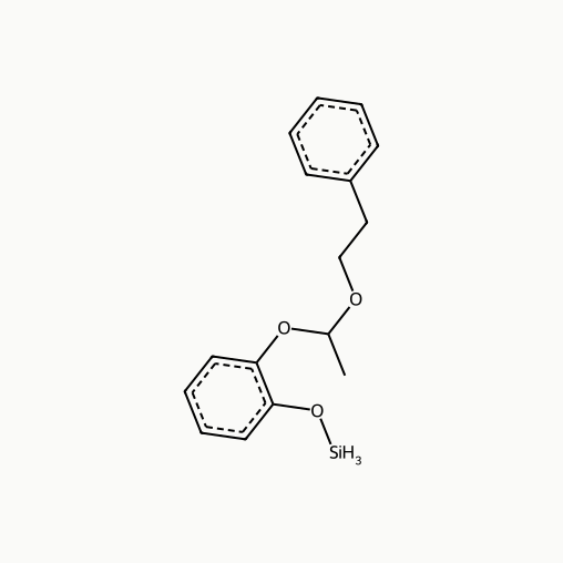 CC(OCCc1ccccc1)Oc1ccccc1O[SiH3]